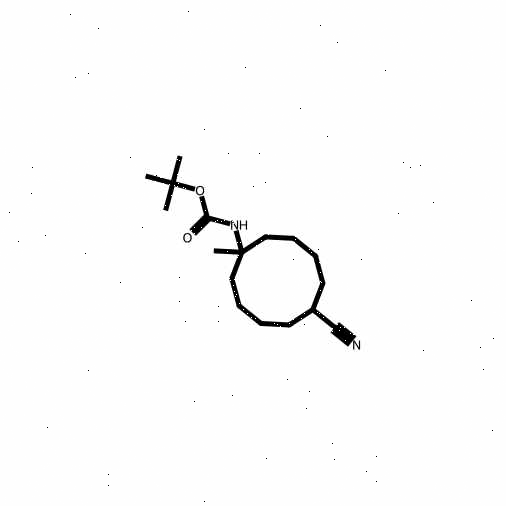 CC1(NC(=O)OC(C)(C)C)CCCCC(C#N)CCCC1